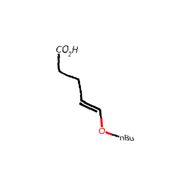 CCCCOC=CCCC(=O)O